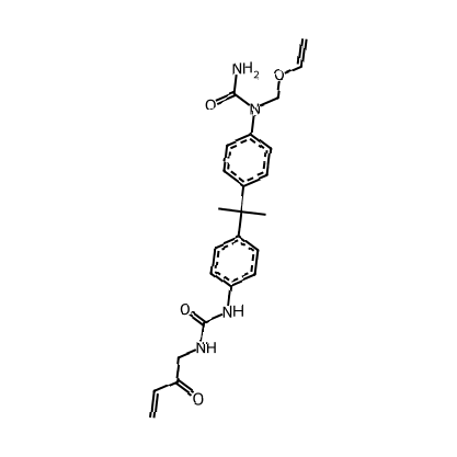 C=COCN(C(N)=O)c1ccc(C(C)(C)c2ccc(NC(=O)NCC(=O)C=C)cc2)cc1